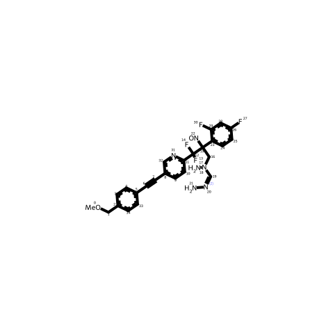 COCc1ccc(C#Cc2ccc(C(F)(F)C(CN(N)/C=N\N)(N=O)c3ccc(F)cc3F)nc2)cc1